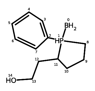 B[PH]1(c2ccccc2)CCCC1CCO